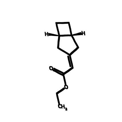 CCOC(=O)/C=C1/C[C@H]2CC[C@H]2C1